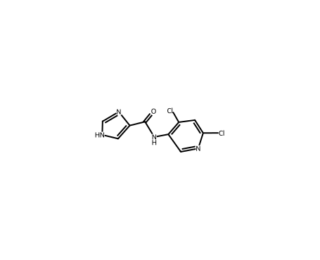 O=C(Nc1cnc(Cl)cc1Cl)c1c[nH]cn1